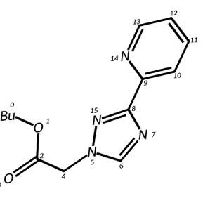 CC(C)(C)OC(=O)Cn1cnc(-c2ccccn2)n1